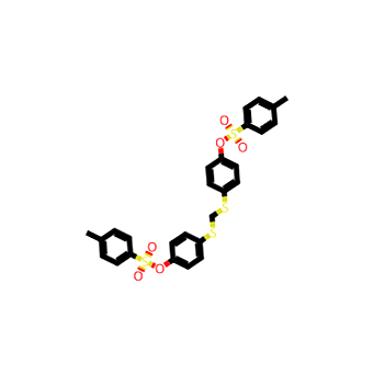 Cc1ccc(S(=O)(=O)Oc2ccc(SCSc3ccc(OS(=O)(=O)c4ccc(C)cc4)cc3)cc2)cc1